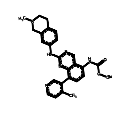 Cc1ccncc1-c1ccc(NC(=O)OC(C)(C)C)c2cnc(Nc3ccc4c(c3)CN(C)CC4)nc12